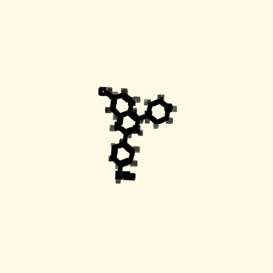 CNc1ccc(-c2nc(N3CCOCC3)c3ncc(Cl)cc3n2)cc1